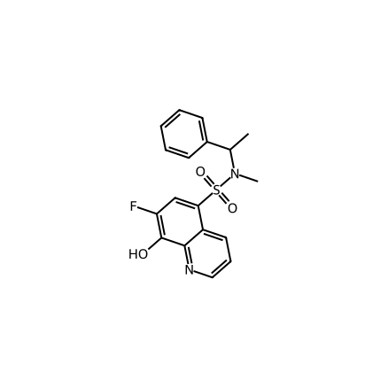 CC(c1ccccc1)N(C)S(=O)(=O)c1cc(F)c(O)c2ncccc12